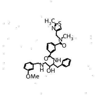 COc1cccc(CNCC(O)C(Cc2ccccc2)NC(=O)c2cccc(C(=O)N(C)Cc3csc(C)n3)c2)c1